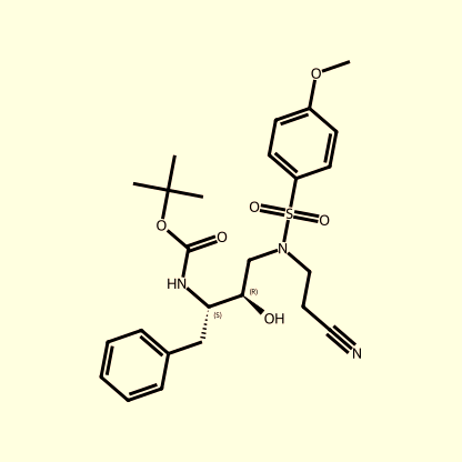 COc1ccc(S(=O)(=O)N(CCC#N)C[C@@H](O)[C@H](Cc2ccccc2)NC(=O)OC(C)(C)C)cc1